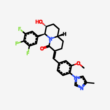 COc1cc(C=C2CC[C@H]3CC[C@@H](O)[C@H](c4cc(F)c(F)c(F)c4)N3C2=O)ccc1-n1cnc(C)c1